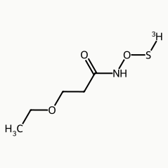 [3H]SONC(=O)CCOCC